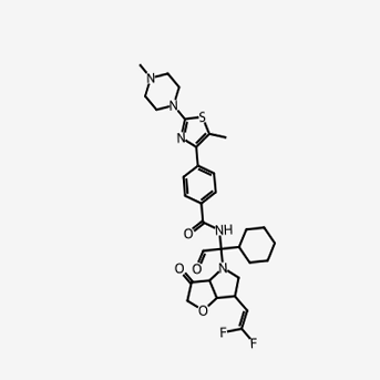 Cc1sc(N2CCN(C)CC2)nc1-c1ccc(C(=O)NC(C=O)(C2CCCCC2)N2CC(C=C(F)F)C3OCC(=O)C32)cc1